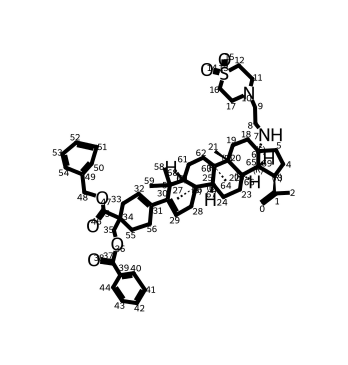 C=C(C)[C@@H]1CC[C@]2(NCCN3CCS(=O)(=O)CC3)CC[C@]3(C)[C@H](CC[C@@H]4[C@@]5(C)CC=C(C6=CCC(COC(=O)c7ccccc7)(C(=O)OCc7ccccc7)CC6)C(C)(C)[C@@H]5CC[C@]43C)[C@@H]12